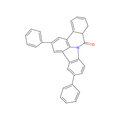 O=C1C2CC=CC=C2c2cc(-c3ccccc3)cc3c4cc(-c5ccccc5)ccc4n1c23